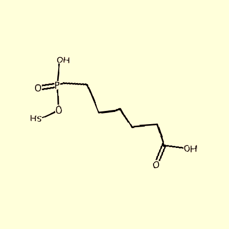 O=C(O)CCCCCP(=O)(O)OS